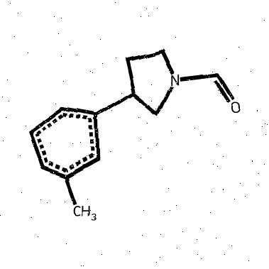 Cc1cccc(C2CCN(C=O)C2)c1